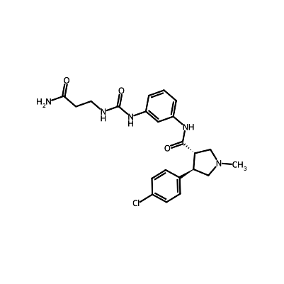 CN1C[C@@H](C(=O)Nc2cccc(NC(=O)NCCC(N)=O)c2)[C@H](c2ccc(Cl)cc2)C1